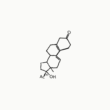 CC(=O)[C@@]1(O)CCC2C3CCC4=C(CCC(=O)C4)C3=CCC21C